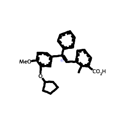 COc1ccc(/C(=C/c2cccc(C(=O)O)c2C)c2ccccc2)cc1OC1CCCC1